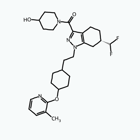 Cc1cccnc1OC1CCC(CCn2nc(C(=O)N3CCC(O)CC3)c3c2C[C@@H](C(F)F)CC3)CC1